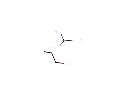 NC(C(=O)O)C(=O)O.O=S(=O)(O)CCO